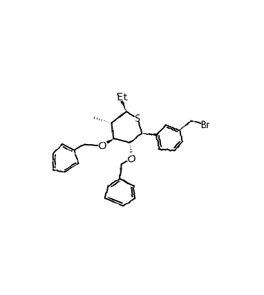 CC[C@H]1S[C@@H](c2cccc(CBr)c2)[C@H](OCc2ccccc2)[C@@H](OCc2ccccc2)[C@@H]1C